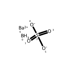 B.O=S(=O)([O-])[O-].[Ba+2]